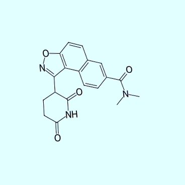 CN(C)C(=O)c1ccc2c(ccc3onc(C4CCC(=O)NC4=O)c32)c1